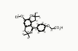 CCOc1cc2c(c3c1OC(C)(C)C3)C(c1ccc(OCC(=O)O)cc1)=NC(C)(C)C2